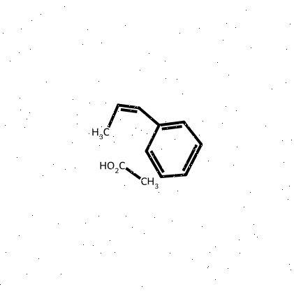 C/C=C\c1ccccc1.CC(=O)O